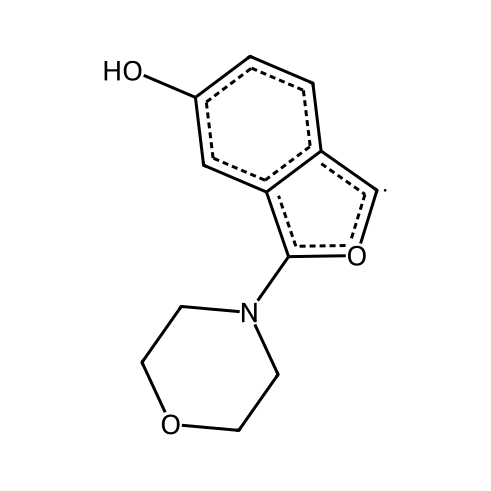 Oc1ccc2[c]oc(N3CCOCC3)c2c1